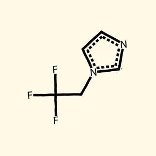 FC(F)(F)Cn1[c]ncc1